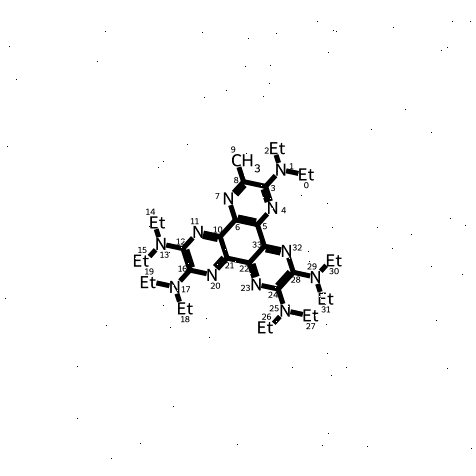 CCN(CC)c1nc2c(nc1C)c1nc(N(CC)CC)c(N(CC)CC)nc1c1nc(N(CC)CC)c(N(CC)CC)nc21